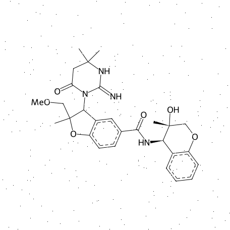 COCC1(C)Oc2ccc(C(=O)N[C@@H]3c4ccccc4OC[C@@]3(C)O)cc2C1N1C(=N)NC(C)(C)CC1=O